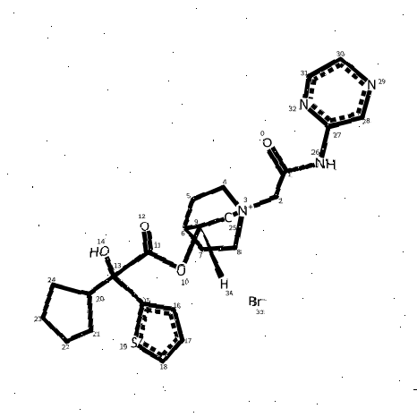 O=C(C[N+]12CCC(CC1)[C@@H](OC(=O)C(O)(c1cccs1)C1CCCC1)C2)Nc1cnccn1.[Br-]